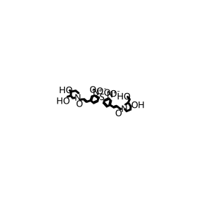 O=C(/C=C/c1ccc(Sc2ccc(/C=C/C(=O)N3CCC(O)C(CO)C3)cc2[N+](=O)[O-])c([N+](=O)[O-])c1)N1CCC(O)C(CO)C1